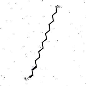 C=C/C=C/CCCCCCCCCCCCCCCCCCCCCC